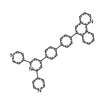 c1cnc2c(c1)cc(-c1ccc(-c3ccc(-c4cc(-c5ccncc5)nc(-c5ccncc5)c4)cc3)cc1)c1ccccc12